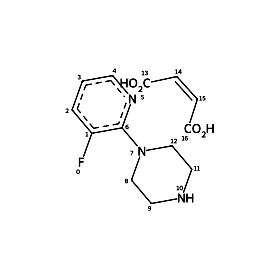 Fc1cccnc1N1CCNCC1.O=C(O)/C=C\C(=O)O